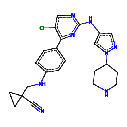 N#CC1(CNc2ccc(-c3nc(Nc4cnn(C5CCNCC5)c4)ncc3Cl)cc2)CC1